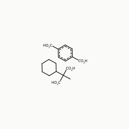 CC(C(=O)O)(C(=O)O)C1CCCCC1.O=C(O)c1ccc(C(=O)O)cc1